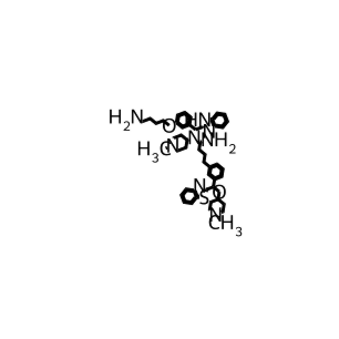 CN1CCC(OC(c2cccc(CCCC(N)N(C3CCN(C)CC3)C(c3cccc(OCCCCN)c3)c3nc4ccccc4[nH]3)c2)c2nc3ccccc3s2)CC1